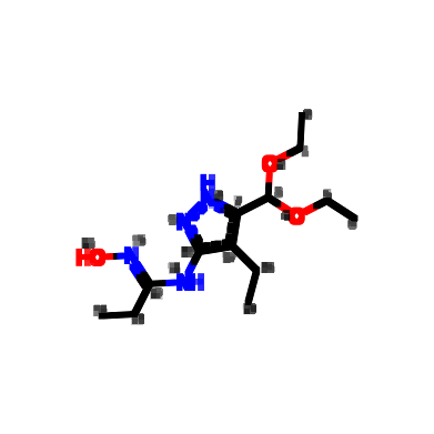 CCOC(OCC)c1[nH]nc(NC(CC)=NO)c1CC